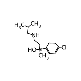 CC(C)CNCC[C@](C)(O)c1ccc(Cl)cc1